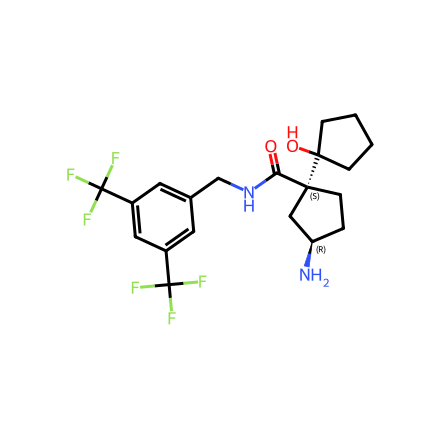 N[C@@H]1CC[C@@](C(=O)NCc2cc(C(F)(F)F)cc(C(F)(F)F)c2)(C2(O)CCCC2)C1